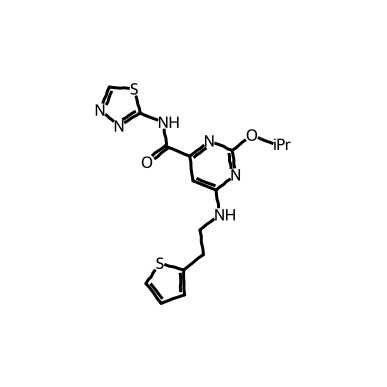 CC(C)Oc1nc(NCCc2cccs2)cc(C(=O)Nc2nncs2)n1